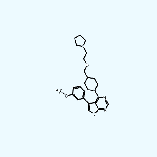 COc1cccc(-c2csc3ncnc(N4CCC(COCCN5CCCC5)CC4)c23)c1